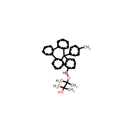 Cc1ccc(C2(c3cccc(BOC(C)(C)C(C)(C)O)c3)c3ccccc3-c3ccccc3-c3ccccc32)cc1